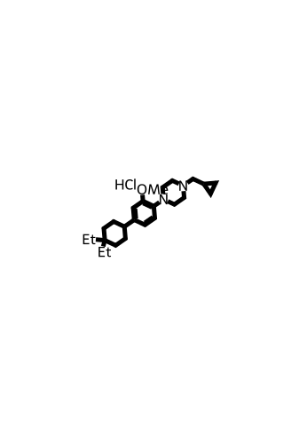 CCC1(CC)CCC(c2ccc(N3CCN(CC4CC4)CC3)c(OC)c2)CC1.Cl